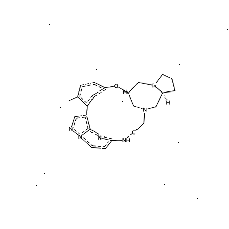 Cc1ccc2cc1-c1cnn3ccc(nc13)NCCN1C[C@@H](CN3CCC[C@H]3C1)O2